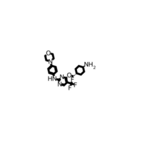 N[C@H]1CC[C@H](COc2nc(Nc3ccc(N4CCOCC4)cc3)ncc2C(F)(F)F)CC1